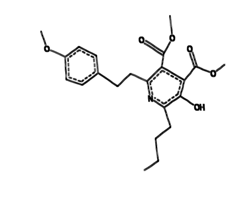 CCCCc1nc(CCc2ccc(OC)cc2)c(C(=O)OC)c(C(=O)OC)c1O